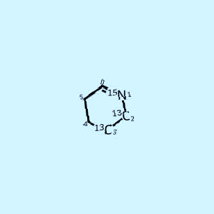 C1=[15N][13CH2][13CH2]CC1